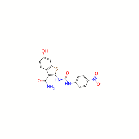 NC(=O)c1c(NC(=O)Nc2ccc([N+](=O)[O-])cc2)sc2cc(O)ccc12